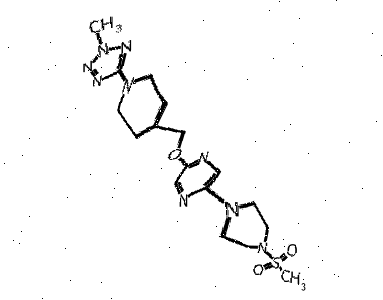 Cn1nnc(N2CCC(COc3cnc(N4CCN(S(C)(=O)=O)CC4)cn3)CC2)n1